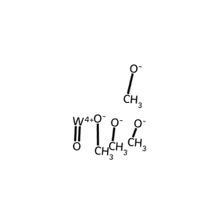 C[O-].C[O-].C[O-].C[O-].[O]=[W+4]